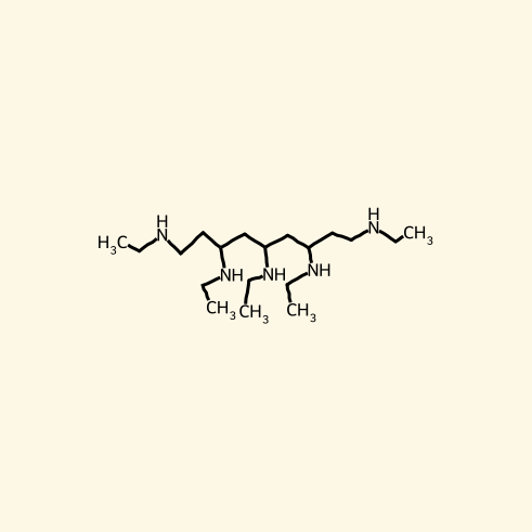 CCNCCC(CC(CC(CCNCC)NCC)NCC)NCC